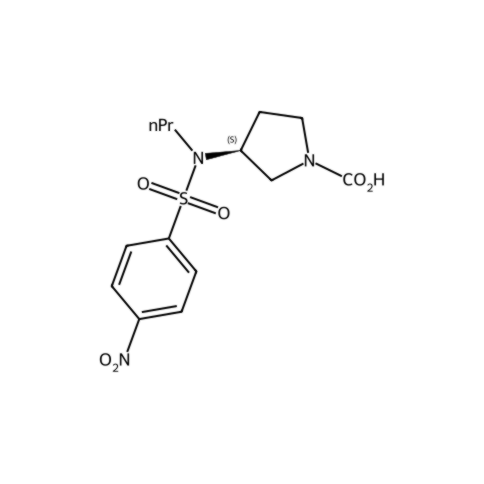 CCCN([C@H]1CCN(C(=O)O)C1)S(=O)(=O)c1ccc([N+](=O)[O-])cc1